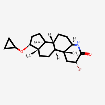 C[C@]12C[C@@H](Br)C(=O)N[C@@H]1CC[C@@H]1[C@@H]2CC[C@]2(C)[C@@H](OC3CC3)CC[C@@H]12